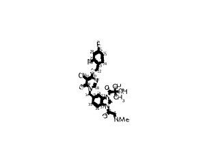 CNCC(=O)N1CN(C(=O)C(C)(C)O)c2cc(Cn3cnc(OCc4ccc(F)cc4F)c(Cl)c3=O)ccc21